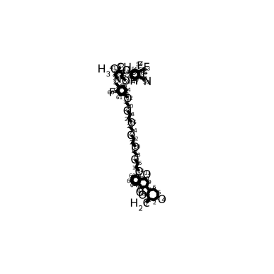 C=C1CC(=O)CCC(C2CC(=O)c3c(OCCOCCOCCOCCOCCOCCOc4ccc(CN5CC(C)(C)C(Oc6ccc(C#N)c(C(F)(F)F)c6)C5O)c(F)c4)cccc3C2=O)C1=O